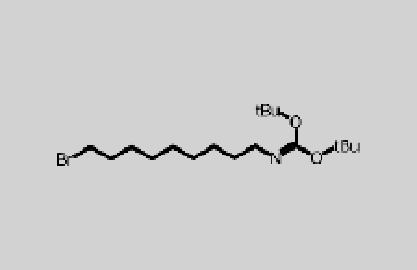 CC(C)(C)OC(=NCCCCCCCCCBr)OC(C)(C)C